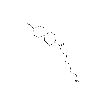 CC(C)(C)CCCOCCC(=O)N1CCC2(CC1)CCN(C(C)(C)C)CC2